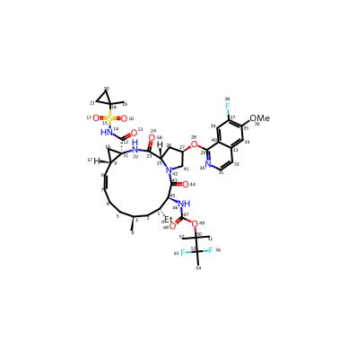 CC[C@@H]1C[C@@H](C)CC/C=C\[C@@H]2C[C@@]2(C(=O)NS(=O)(=O)C2(C)CC2)NC(=O)[C@@H]2C[C@@H](Oc3nccc4cc(OC)c(F)cc34)CN2C(=O)[C@H]1NC(=O)OC(C)(C)C(C)(F)F